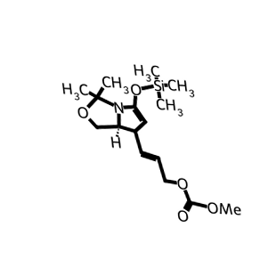 COC(=O)OC/C=C/C1C=C(O[Si](C)(C)C)N2[C@@H]1COC2(C)C